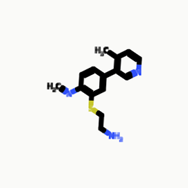 C=Nc1ccc(-c2cnccc2C)cc1SCCN